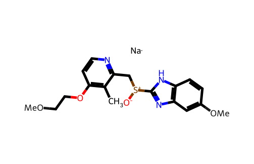 COCCOc1ccnc(C[S+]([O-])c2nc3cc(OC)ccc3[nH]2)c1C.[Na]